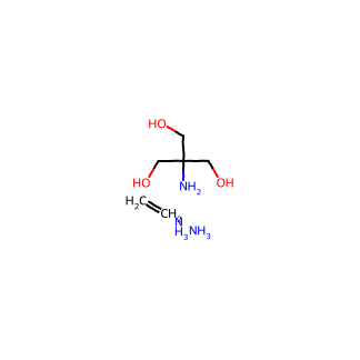 C=C.N.N.NC(CO)(CO)CO